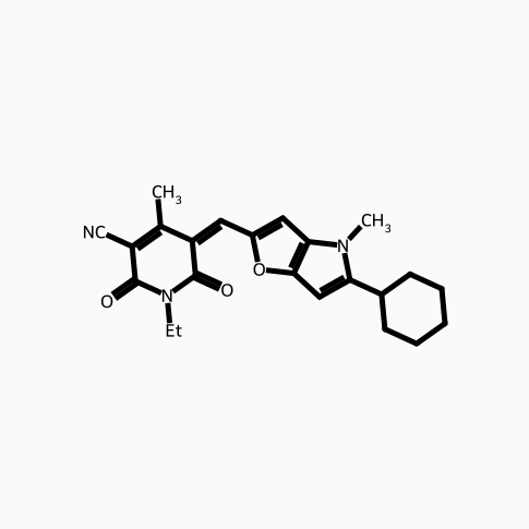 CCN1C(=O)C(C#N)=C(C)/C(=C/c2cc3c(cc(C4CCCCC4)n3C)o2)C1=O